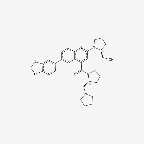 O=C(c1cc(N2CCC[C@H]2CO)nc2ccc(-c3ccc4c(c3)OCO4)cc12)N1CCC[C@H]1CN1CCCC1